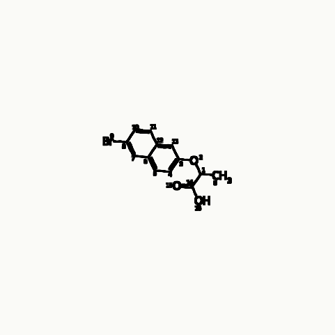 CC(Oc1ccc2cc(Br)ccc2c1)C(=O)O